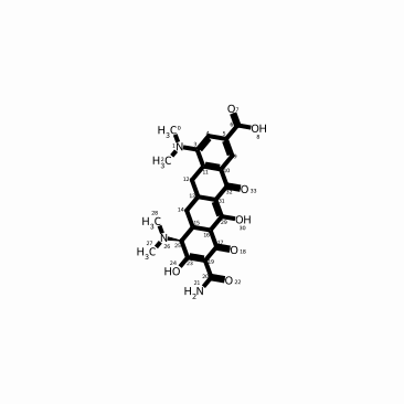 CN(C)c1cc(C(=O)O)cc2c1CC1CC3C(C(=O)C(C(N)=O)=C(O)[C@H]3N(C)C)C(O)=C1C2=O